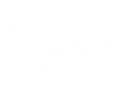 C1=NCc2cc(-c3cnc4ccc(NC5CCOCC5)nn34)ccc21